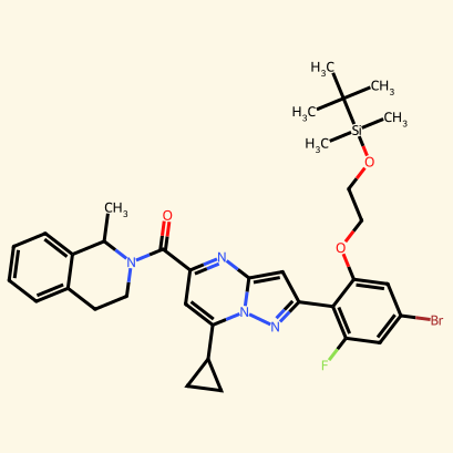 CC1c2ccccc2CCN1C(=O)c1cc(C2CC2)n2nc(-c3c(F)cc(Br)cc3OCCO[Si](C)(C)C(C)(C)C)cc2n1